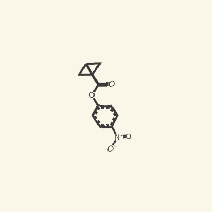 O=C(Oc1ccc([N+](=O)[O-])cc1)C12CC1C2